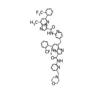 Cc1cc(-c2ccccc2C(F)(F)F)nn2c(C(=O)Nc3cc(Cc4cc(-c5ccccc5C(F)(F)F)nn5c(C(=O)Nc6cccc(CN7CCOCC7)n6)cnc45)ccn3)cnc12